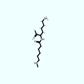 CNCCCCCC(=O)NC(CCCCN)C(C)=O